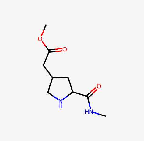 CNC(=O)C1CC(CC(=O)OC)CN1